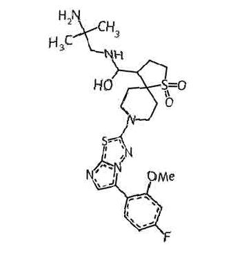 COc1cc(F)ccc1-c1cnc2sc(N3CCC4(CC3)C(C(O)NCC(C)(C)N)CCS4(=O)=O)nn12